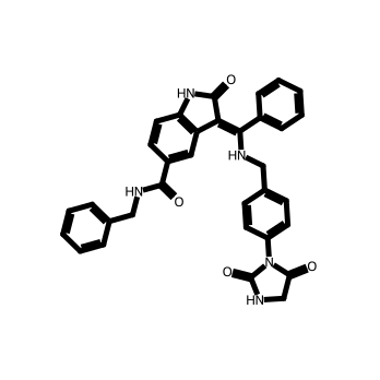 O=C1Nc2ccc(C(=O)NCc3ccccc3)cc2C1=C(NCc1ccc(N2C(=O)CNC2=O)cc1)c1ccccc1